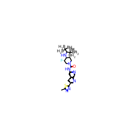 BC(B)(B)C(N[C@H]1CCN(C(=O)Nc2cc3cc(-c4nnc(C)s4)cnc3cn2)C[C@@H]1F)C(B)(B)B